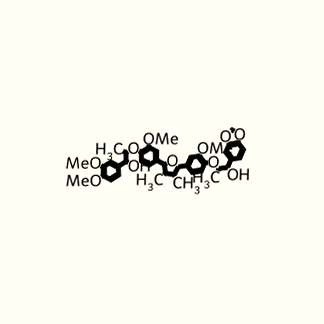 COc1ccc(C(O)C(C)Oc2ccc(C3OC(c4ccc(OC(C)C(O)c5ccc6c(c5)OCO6)c(OC)c4)C(C)C3C)cc2OC)cc1OC